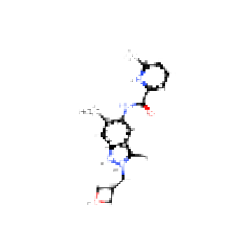 Cc1c2cc(NC(=O)c3cccc(C(F)(F)F)n3)c(C(=O)O)cc2nn1CC1COC1